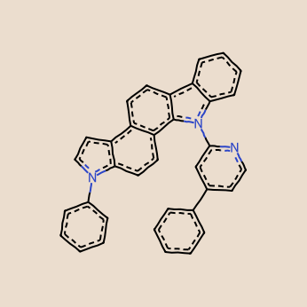 c1ccc(-c2ccnc(-n3c4ccccc4c4ccc5c6ccn(-c7ccccc7)c6ccc5c43)c2)cc1